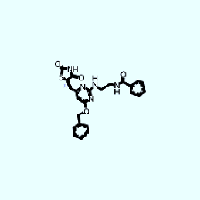 O=C1NC(=O)/C(=C\c2cc(OCc3ccccc3)nc(NCCNC(=O)c3ccccc3)n2)S1